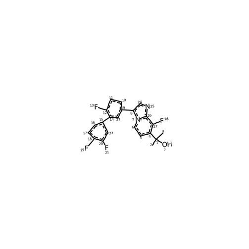 CC(C)(O)c1ccn2c(-c3ccc(F)c(-c4ccc(F)c(F)c4)c3)cnc2c1F